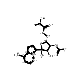 CCC(=O)O[C@H]1[C@@H](O)[C@](C#N)(c2ccc3c(N)ncnn23)O[C@@H]1COC(=O)[C@@H](C)C(C)(C)C